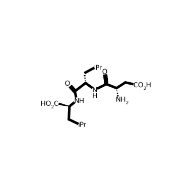 CC(C)C[C@H](NC(=O)[C@H](CC(C)C)NC(=O)[C@@H](N)CC(=O)O)C(=O)O